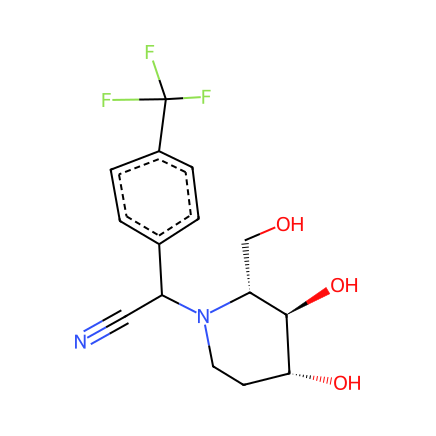 N#CC(c1ccc(C(F)(F)F)cc1)N1CC[C@@H](O)[C@H](O)[C@H]1CO